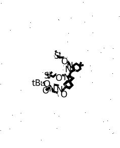 C[C@@H]1CN(C(=O)OC(C)(C)C)CCN1C(=O)c1ccc2cc(-c3nn(COCC[Si](C)(C)C)c4c3CCC(C)(C)C4)n(COCC[Si](C)(C)C)c2c1